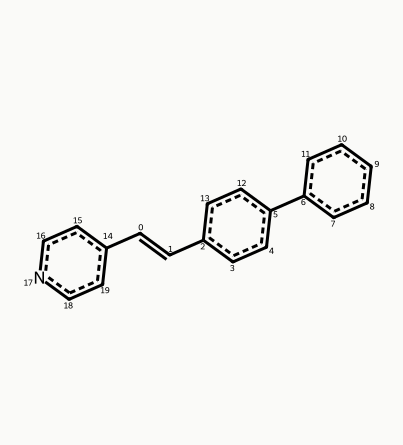 C(=Cc1ccc(-c2ccccc2)cc1)c1ccncc1